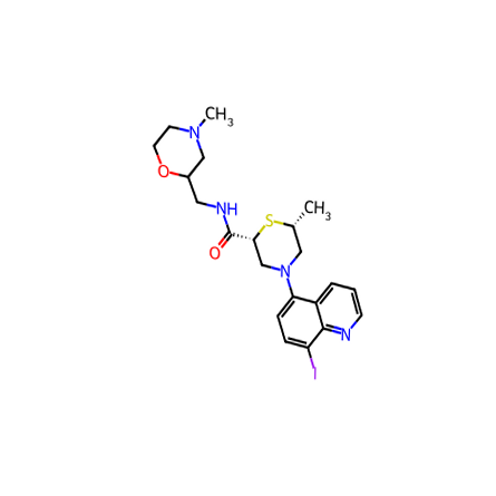 C[C@@H]1CN(c2ccc(I)c3ncccc23)C[C@H](C(=O)NCC2CN(C)CCO2)S1